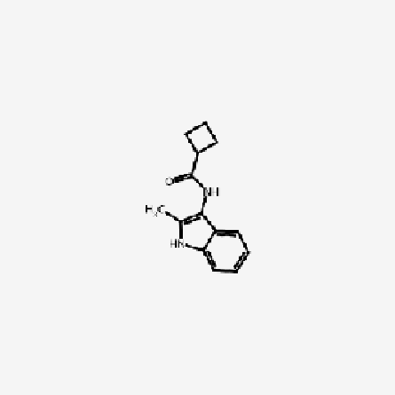 Cc1[nH]c2ccccc2c1NC(=O)C1CCC1